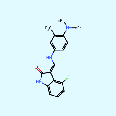 CCCN(CCC)c1ccc(NC=C2C(=O)Nc3cccc(F)c32)cc1C(F)(F)F